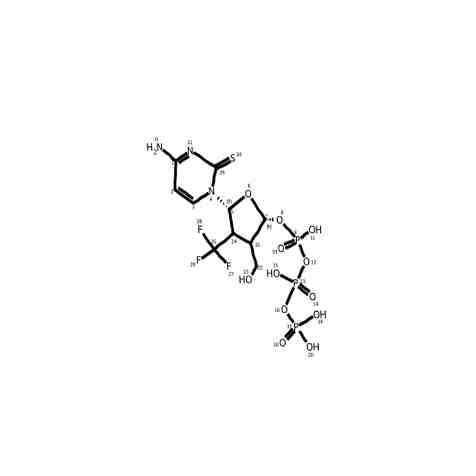 Nc1ccn([C@@H]2O[C@H](OP(=O)(O)OP(=O)(O)OP(=O)(O)O)C(CO)C2C(F)(F)F)c(=S)n1